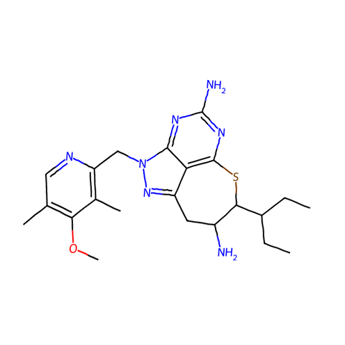 CCC(CC)C1Sc2nc(N)nc3c2c(nn3Cc2ncc(C)c(OC)c2C)CC1N